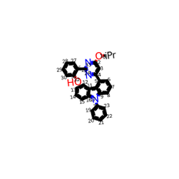 CC(C)Oc1cc(-c2cccc3c2c2ccccc2n3-c2ccccc2)nc(-c2ccccc2O)n1